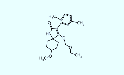 CCOCOC1=C(c2cc(C)ccc2C)C(=O)NC12CCC(OC)CC2